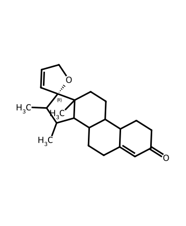 CC1C2C3CCC4=CC(=O)CCC4C3CCC2(C)[C@]2(C=CCO2)C1C